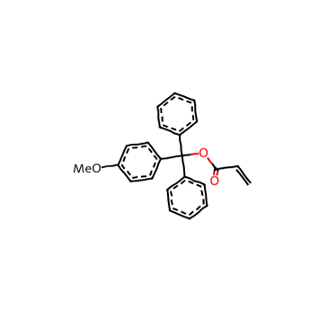 C=CC(=O)OC(c1ccccc1)(c1ccccc1)c1ccc(OC)cc1